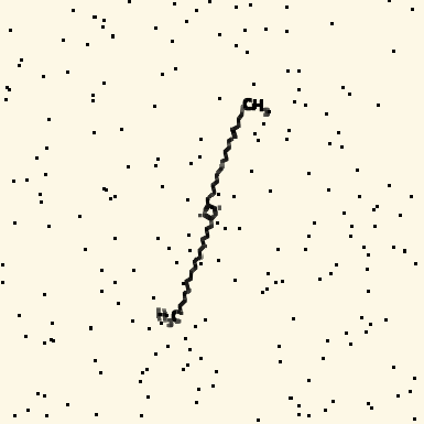 CCCCCCCCCCCCCCCCCCc1[c]cc(CCCCCCCCCCCCCCCCCC)[c]c1